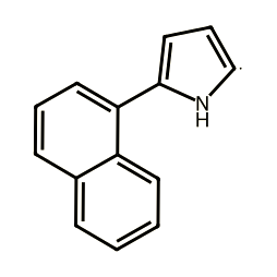 [c]1ccc(-c2cccc3ccccc23)[nH]1